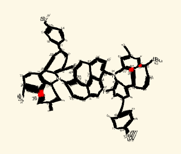 Cc1cccc(N(c2c(F)cc(-c3ccc(C(C)(C)C)cc3)cc2-c2ccc(C(C)(C)C)cc2)c2ccc3ccc4c(N(c5cccc(C)c5)c5c(F)cc(-c6ccc(C(C)(C)C)cc6)cc5-c5ccc(C(C)(C)C)cc5)ccc5ccc2c3c54)c1